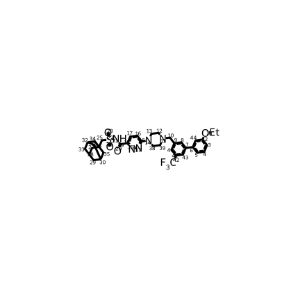 CCOc1cccc(-c2cc(CN3CCN(c4ccc(C(=O)NS(=O)(=O)CC56CC7CC(CC(C7)C5)C6)nn4)CC3)cc(C(F)(F)F)c2)c1